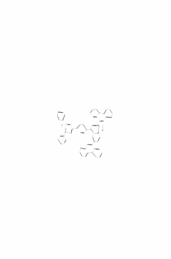 c1ccc(-c2cc(-c3ccc(-c4cc(-c5cc6ccccc6c6ccccc56)nc5ccc(-c6cc7ccccc7c7ccccc67)cc45)cc3)cc(-c3ccccc3)n2)cc1